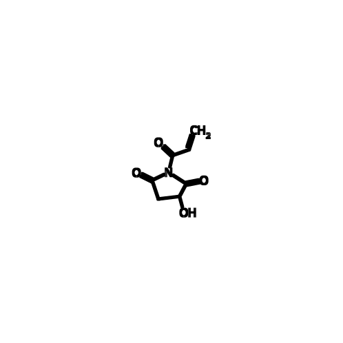 C=CC(=O)N1C(=O)CC(O)C1=O